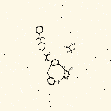 O=C(CC1CCN(S(=O)(=O)c2ccccc2)CC1)Nc1ccc2cc1CCc1cccc(c1)Nc1ncc(Cl)c(n1)N2.O=C(O)C(F)(F)F